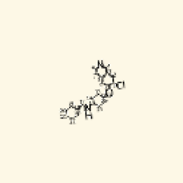 Clc1cc2cnccc2cc1O[C@H]1CC[C@@H](NCC2CCCCC2)CC1